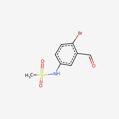 CS(=O)(=O)Nc1ccc(Br)c(C=O)c1